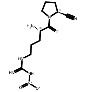 N#C[C@@H]1CCCN1C(=O)[C@@H](N)CCCNC(=N)N[N+](=O)[O-]